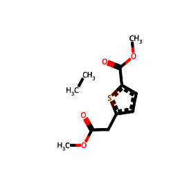 CC.COC(=O)Cc1ccc(C(=O)OC)s1